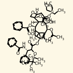 CC[Si](CC)(CC)OC1C[C@H]2OC[C@@]2(OC(C)=O)[C@H]2[C@H](OC(=O)c3ccccc3)[C@]3(O)C[C@H](OC(=O)C(O[Si](C)(C)C(C)(C)C)[C@@H](NC(=O)c4ccccc4)c4ccccc4)C(C)=C([C@H](OC(C)=O)[C@H](O)[C@]12C)C3(C)C